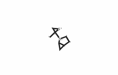 CC1(N2CCC3CC32)CS1